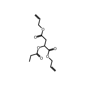 C=CCOC(=O)CC(OC(=O)CC)C(=O)OCC=C